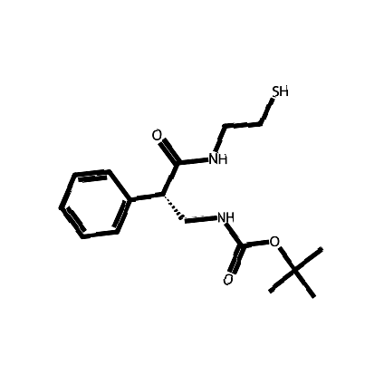 CC(C)(C)OC(=O)NC[C@@H](C(=O)NCCS)c1ccccc1